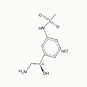 CS(=O)(=O)Nc1cccc([C@@H](O)CN)c1.Cl